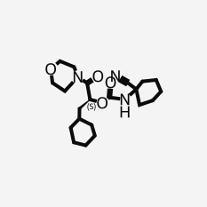 N#CC1(NC(=O)O[C@@H](CC2CCCCC2)C(=O)N2CCOCC2)CCCCC1